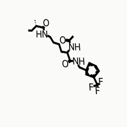 CC[C@H](C)C(=O)NCCCCC(NC(C)=O)C(=O)NCc1cccc(C(F)(F)F)c1